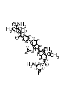 COc1cc(C(=O)N2C[C@H](N)C[C@@H](F)C2)cc2nc(-c3cc4ccc(-c5ccc(C(=O)NCC(C)(C)C(N)=O)cc5)nc4n3CC3CC3)n(C)c12